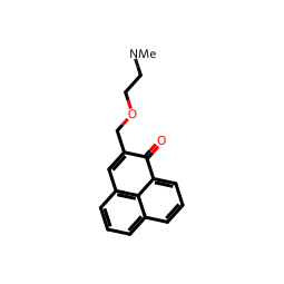 CNCCOCC1=Cc2cccc3cccc(c23)C1=O